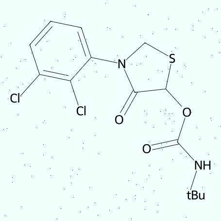 CC(C)(C)NC(=O)OC1SCN(c2cccc(Cl)c2Cl)C1=O